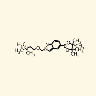 CC1(C)OB(c2ccc3nn(COCC[Si](C)(C)C)cc3c2)OC1(C)C